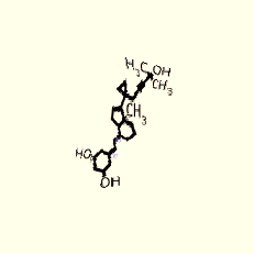 CC(C)(O)C#CCC1(C2=CCC3/C(=C/C=C4/CC(O)C[C@H](O)C4)CCC[C@]23C)CC1